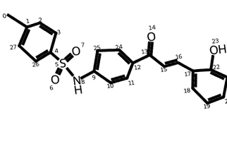 Cc1ccc(S(=O)(=O)Nc2ccc(C(=O)C=Cc3ccccc3O)cc2)cc1